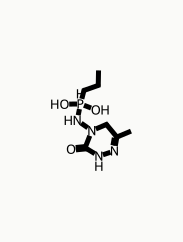 CCC[PH](O)(O)NN1CC(C)=NNC1=O